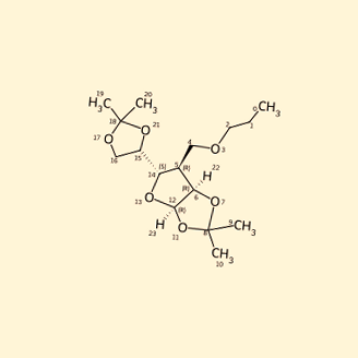 CCCOC[C@H]1[C@H]2OC(C)(C)O[C@H]2O[C@@H]1C1COC(C)(C)O1